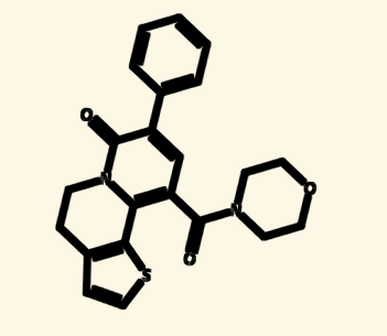 O=C(c1cc(-c2ccccc2)c(=O)n2c1-c1sccc1CC2)N1CCOCC1